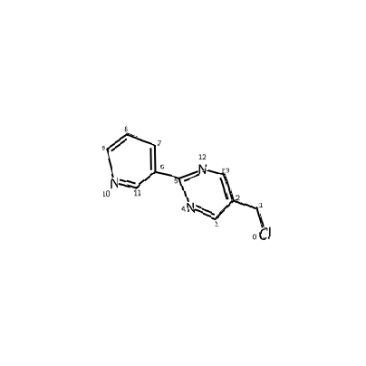 ClCc1cnc(-c2cccnc2)nc1